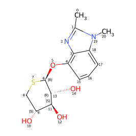 Cc1nc2c(O[C@@H]3SC[C@@H](O)[C@H](O)[C@H]3O)cccc2n1C